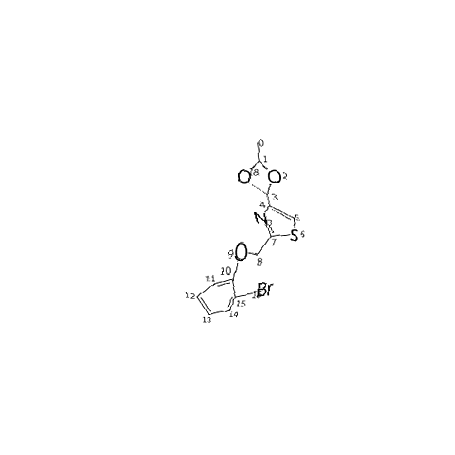 CC1OC(c2csc(COc3ccccc3Br)n2)O1